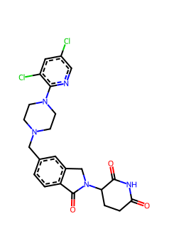 O=C1CCC(N2Cc3cc(CN4CCN(c5ncc(Cl)cc5Cl)CC4)ccc3C2=O)C(=O)N1